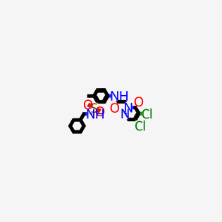 Cc1ccc(NC(=O)Cn2ncc(Cl)c(Cl)c2=O)cc1S(=O)(=O)NCC1CCCCC1